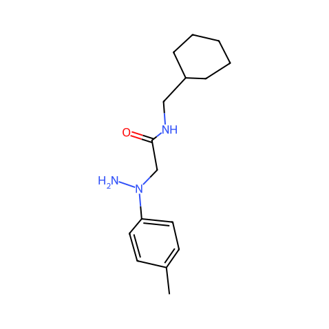 Cc1ccc(N(N)CC(=O)NCC2CCCCC2)cc1